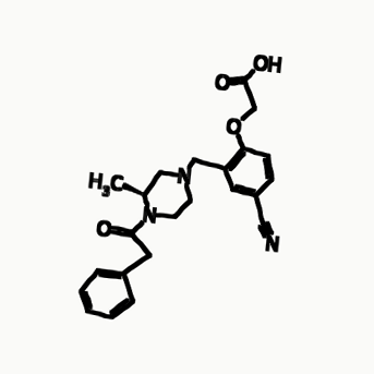 C[C@H]1CN(Cc2cc(C#N)ccc2OCC(=O)O)CCN1C(=O)Cc1ccccc1